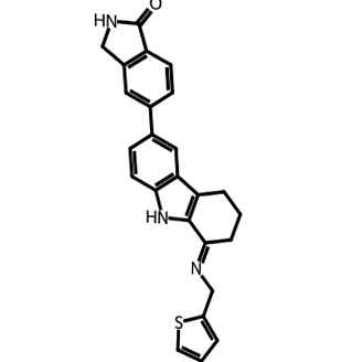 O=C1NCc2cc(-c3ccc4[nH]c5c(c4c3)CCC/C5=N\Cc3cccs3)ccc21